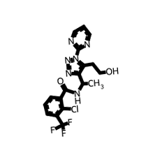 CC(NC(=O)c1cccc(C(F)(F)F)c1Cl)c1nnn(-c2ncccn2)c1CCO